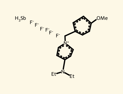 CCN(CC)c1cc[n+](Cc2ccc(OC)cc2)cc1.[F-].[F-].[F-].[F-].[F-].[F-].[SbH3]